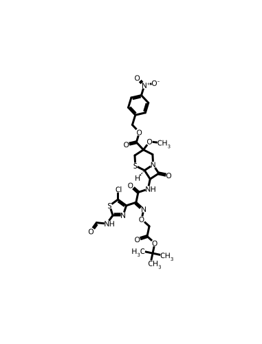 COC1(C(=O)OCc2ccc([N+](=O)[O-])cc2)CS[C@@H]2C(NC(=O)C(=NOCC(=O)OC(C)(C)C)c3nc(NC=O)sc3Cl)C(=O)N2C1